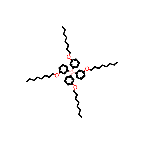 CCCCCCCCOc1cccc([B-](c2cccc(OCCCCCCCC)c2)(c2cccc(OCCCCCCCC)c2)c2cccc(OCCCCCCCC)c2)c1